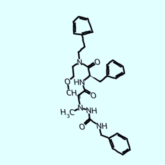 COCCN(CCc1ccccc1)C(=O)[C@@H](Cc1ccccc1)NC(=O)CN(C)NC(=O)NCc1ccccc1